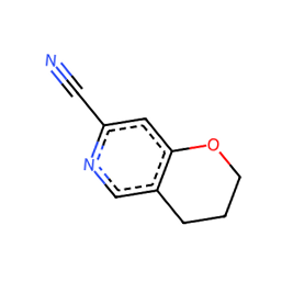 N#Cc1cc2c(cn1)CCCO2